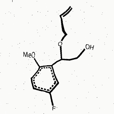 C=CCOC(CO)c1cc(F)ccc1OC